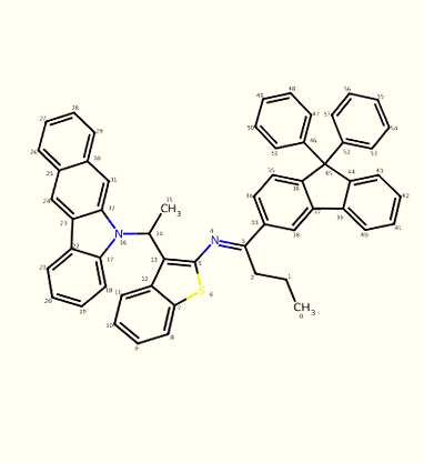 CCC/C(=N\c1sc2ccccc2c1C(C)n1c2ccccc2c2cc3ccccc3cc21)c1ccc2c(c1)-c1ccccc1C2(c1ccccc1)c1ccccc1